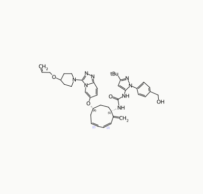 C=CCOC1CCN(c2nnc3ccc(O[C@H]4C/C=C\C=C/C(=C)[C@@H](NC(=O)Nc5cc(C(C)(C)C)nn5-c5ccc(CO)cc5)CC4)cn23)CC1